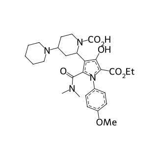 CCOC(=O)c1c(O)c(C2CC(N3CCCCC3)CCN2C(=O)O)c(C(=O)N(C)C)n1-c1ccc(OC)cc1